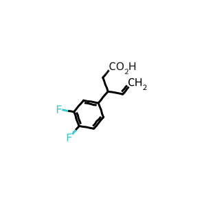 C=CC(CC(=O)O)c1ccc(F)c(F)c1